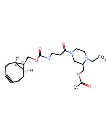 CCC(=O)OCC1CN(C(=O)CCNC(=O)OC[C@@H]2[C@@H]3CCC#CCC[C@@H]32)CCN1CC(=O)O